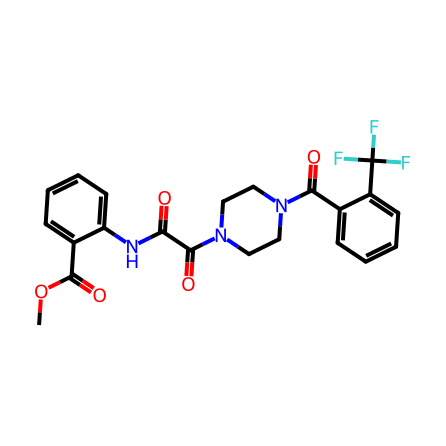 COC(=O)c1ccccc1NC(=O)C(=O)N1CCN(C(=O)c2ccccc2C(F)(F)F)CC1